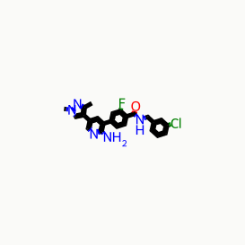 Cc1nn(C)cc1-c1cnc(N)c(-c2ccc(C(=O)NCc3cccc(Cl)c3)c(F)c2)c1